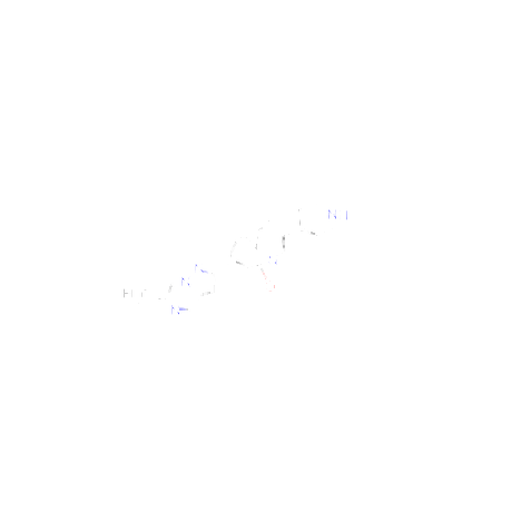 Cc1cn2nc(C3=C\C(=O)N4C=C(C5=CCNCC5)C=C\C4=C/C=C/3)cc2cn1